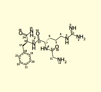 N=C(N)NCCC[C@H](NC(=O)CN)C(=O)N[C@@H](Cc1ccccc1)C(N)=O